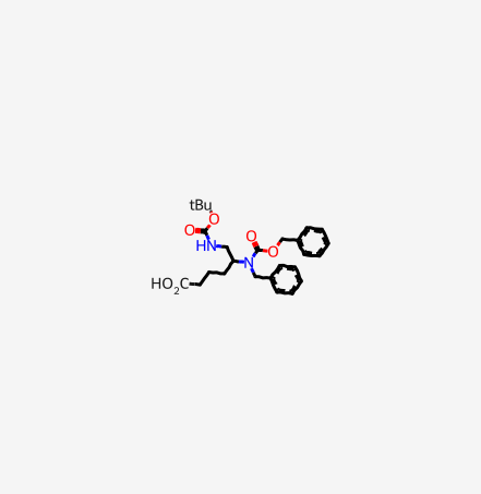 CC(C)(C)OC(=O)NCC(CCCC(=O)O)N(Cc1ccccc1)C(=O)OCc1ccccc1